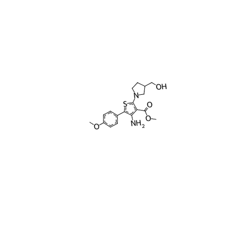 COC(=O)c1c(N2CCC(CO)C2)sc(-c2ccc(OC)cc2)c1N